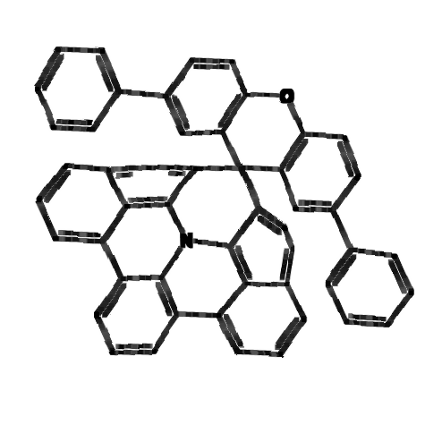 c1ccc(-c2ccc3c(c2)C2(c4cc(-c5ccccc5)ccc4O3)c3ccc4cccc5c4c3N3c4c-5cccc4-c4cccc5ccc2c3c45)cc1